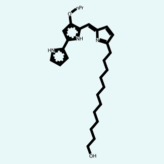 CCCOc1cc(-c2ccc[nH]2)[nH]c1C=C1C=CC(CCCCCCCCCCCCO)=N1